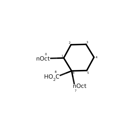 CCCCCCCCC1CCCCC1(CCCCCCCC)C(=O)O